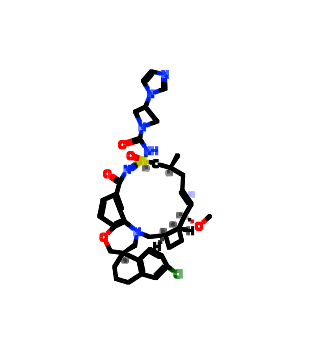 CO[C@H]1/C=C/C[C@H](C)C[S@@](=O)(NC(=O)N2CC(n3ccnc3)C2)=NC(=O)c2ccc3c(c2)N(C[C@@H]2CC[C@H]21)C[C@@]1(CCCc2cc(Cl)ccc21)CO3